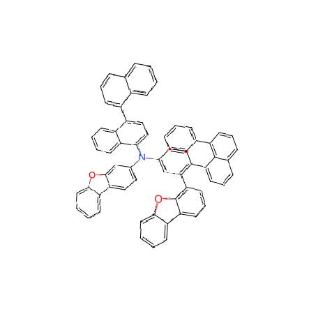 c1ccc(-c2cccc3cccc(-c4ccc(N(c5ccc6c(c5)oc5ccccc56)c5ccc(-c6cccc7ccccc67)c6ccccc56)cc4-c4cccc5c4oc4ccccc45)c23)cc1